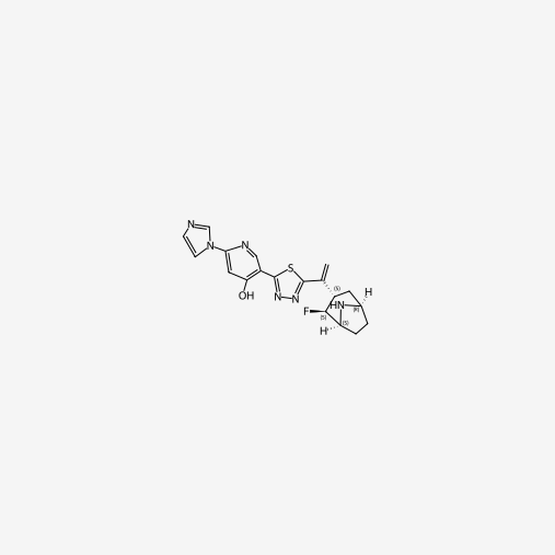 C=C(c1nnc(-c2cnc(-n3ccnc3)cc2O)s1)[C@@H]1C[C@H]2CC[C@H](N2)[C@H]1F